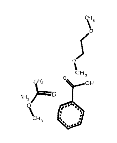 COC(C)=O.COCCOC.N.O=C(O)c1ccccc1